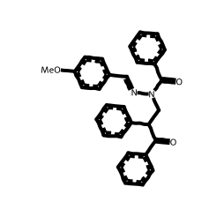 COc1ccc(C=NN(CC(C(=O)c2ccccc2)c2ccccc2)C(=O)c2ccccc2)cc1